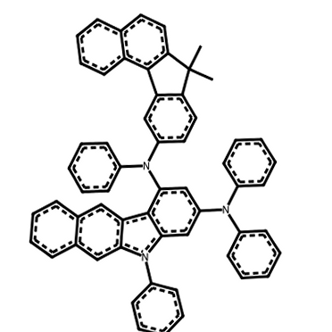 CC1(C)c2ccc(N(c3ccccc3)c3cc(N(c4ccccc4)c4ccccc4)cc4c3c3cc5ccccc5cc3n4-c3ccccc3)cc2-c2c1ccc1ccccc21